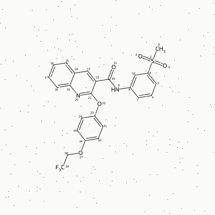 CS(=O)(=O)c1cccc(NC(=O)c2cc3ccccc3nc2Oc2ccc(OCC(F)(F)F)cc2)c1